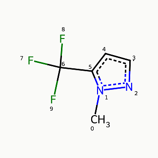 Cn1n[c]cc1C(F)(F)F